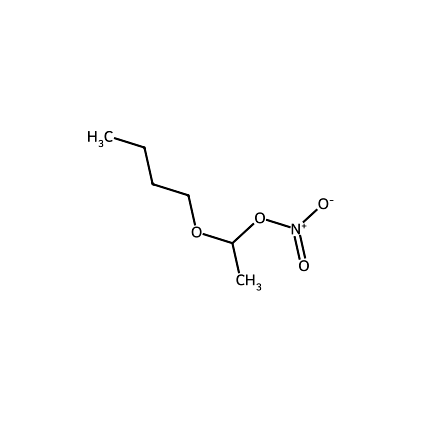 CCCCOC(C)O[N+](=O)[O-]